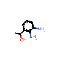 CC(O)c1cccc(N)c1N